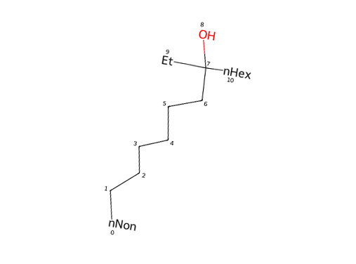 CCCCCCCCCCCCCCCC(O)(CC)CCCCCC